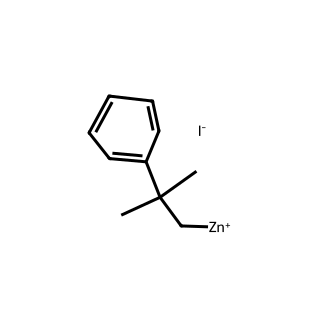 CC(C)([CH2][Zn+])c1ccccc1.[I-]